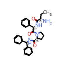 CC[C@H](N)C(=O)N[C@H](C(=O)N1CCC[C@H]1C(=O)NC(c1ccccc1)c1ccccc1)c1ccccc1